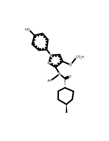 CC(C)N(c1nn(-c2ccc(O)cc2)cc1OC(=O)O)C(=O)[C@H]1CC[C@H](C)CC1